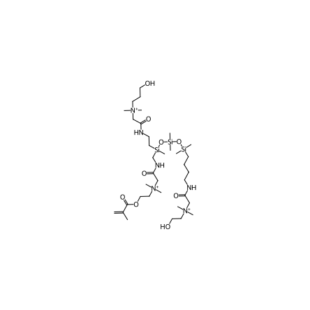 C=C(C)C(=O)OCC[N+](C)(C)CC(=O)NC[Si](C)(CCNC(=O)C[N+](C)(C)CCCO)O[Si](C)(C)O[Si](C)(C)CCCCNC(=O)C[N+](C)(C)CCO